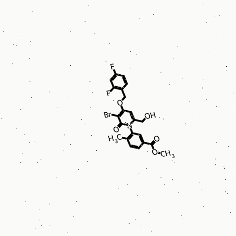 COC(=O)c1ccc(C)c(-n2c(CO)cc(OCc3ccc(F)cc3F)c(Br)c2=O)c1